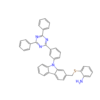 Nc1ccccc1SCc1ccc2c3ccccc3n(-c3cccc(-c4nc(-c5ccccc5)nc(-c5ccccc5)n4)c3)c2c1